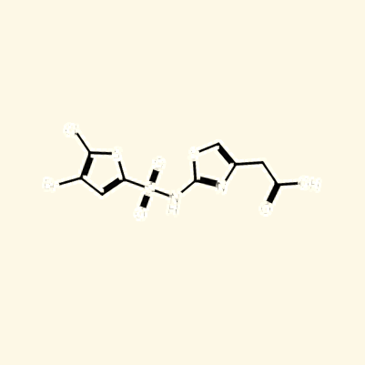 O=C(O)Cc1csc(NS(=O)(=O)c2cc(Br)c(Cl)s2)n1